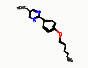 CCCCCCCCCCc1cnc(-c2ccc(OCCCCC(C)CC)cc2)nc1